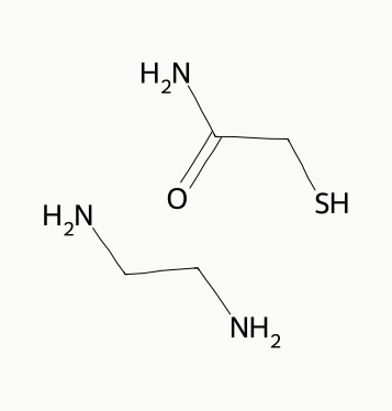 NC(=O)CS.NCCN